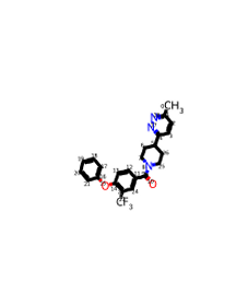 Cc1ccc(C2CCN(C(=O)c3ccc(Oc4ccccc4)c(C(F)(F)F)c3)CC2)nn1